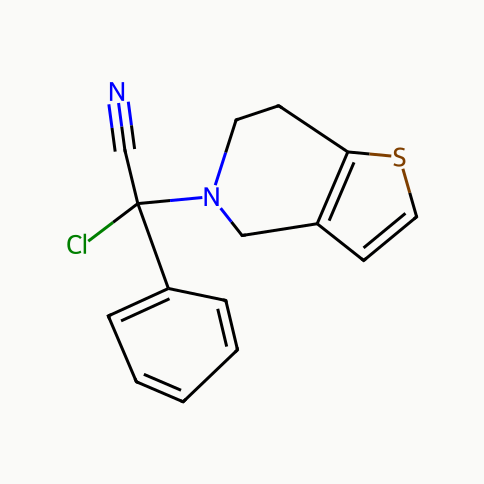 N#CC(Cl)(c1ccccc1)N1CCc2sccc2C1